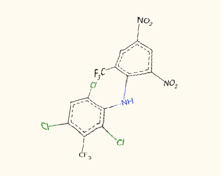 O=[N+]([O-])c1cc([N+](=O)[O-])c(Nc2c(Cl)cc(Cl)c(C(F)(F)F)c2Cl)c(C(F)(F)F)c1